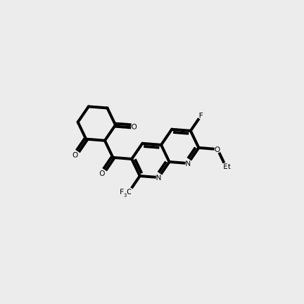 CCOc1nc2nc(C(F)(F)F)c(C(=O)C3C(=O)CCCC3=O)cc2cc1F